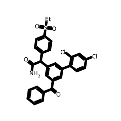 CCS(=O)(=O)c1ccc(C(C(N)=O)c2cc(C(=O)c3ccccc3)cc(-c3ccc(Cl)cc3Cl)c2)cc1